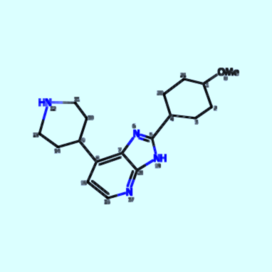 COC1CCC(c2nc3c(C4CCNCC4)ccnc3[nH]2)CC1